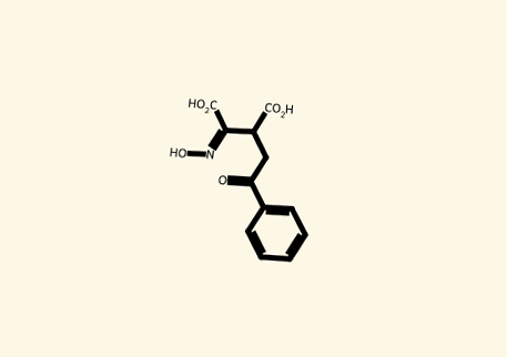 O=C(O)C(=NO)C(CC(=O)c1ccccc1)C(=O)O